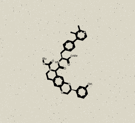 COC(=O)[C@H](Cc1ccc(-c2ccnc(C)c2C)cc1)NC(=O)C1c2cc3c(cc2CCN1C(=O)OC(C)(C)C)OC[C@H](c1cccc(O)c1)O3